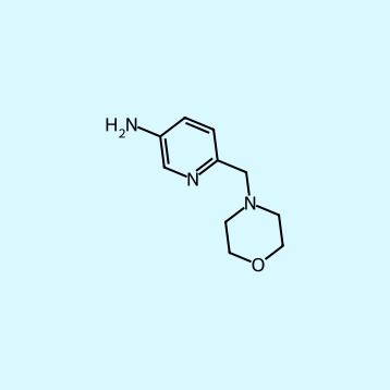 Nc1ccc(CN2CCOCC2)nc1